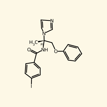 C[C@@](COc1ccccc1)(NC(=O)c1ccc(I)cc1)n1ccnc1